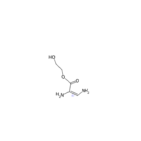 N/C=C(/N)C(=O)OCCO